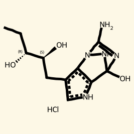 CC[C@@H](O)[C@@H](O)Cc1c[nH]c2c1N1NC2(O)N=C1N.Cl